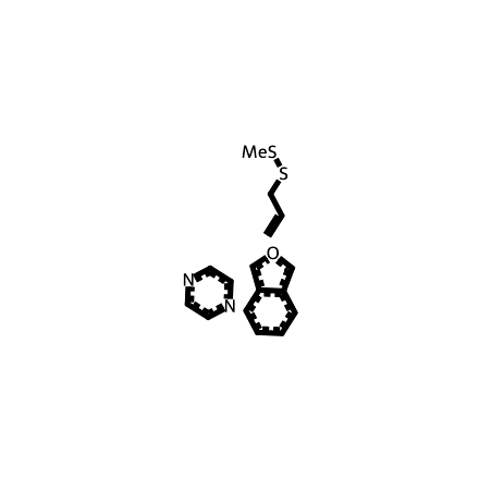 C=CCSSC.c1ccc2cocc2c1.c1cnccn1